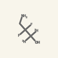 [2H]C([2H])(O)C(F)(F)CN